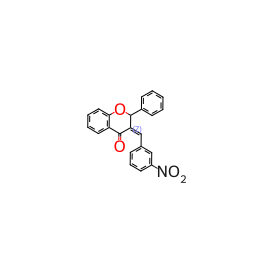 O=C1/C(=C\c2cccc([N+](=O)[O-])c2)C(c2ccccc2)Oc2ccccc21